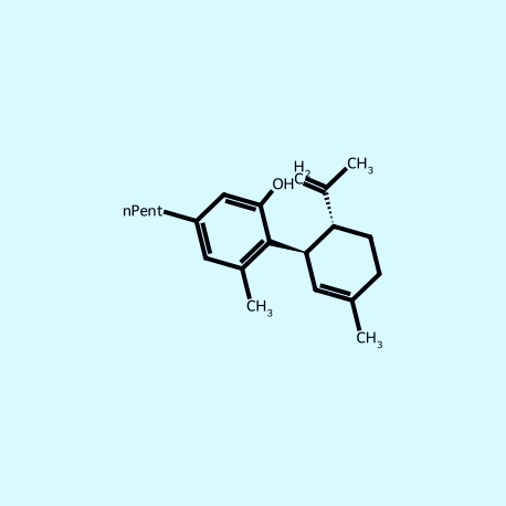 C=C(C)[C@@H]1CCC(C)=C[C@H]1c1c(C)cc(CCCCC)cc1O